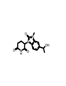 CC(O)c1ccc2c(c1)n(C)c(=O)n2C1CCC(=O)NC1=O